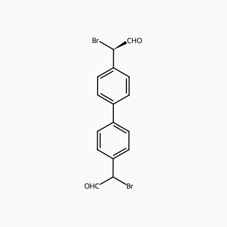 O=CC(Br)c1ccc(-c2ccc([C@@H](Br)C=O)cc2)cc1